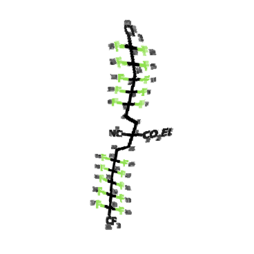 CCOC(=O)C(C#N)(CCC(F)(F)C(F)(F)C(F)(F)C(F)(F)C(F)(F)C(F)(F)F)CCC(F)(F)C(F)(F)C(F)(F)C(F)(F)C(F)(F)C(F)(F)F